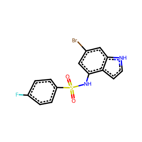 O=S(=O)(Nc1cc(Br)cc2[nH]ccc12)c1ccc(F)cc1